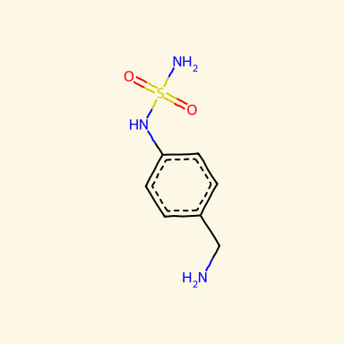 NCc1ccc(NS(N)(=O)=O)cc1